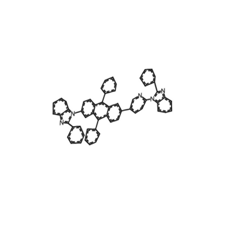 c1ccc(-c2c3ccc(-n4c(-c5ccccc5)nc5ccccc54)cc3c(-c3ccccc3)c3ccc(-c4ccc(-n5c(-c6ccccc6)nc6ccccc65)nc4)cc23)cc1